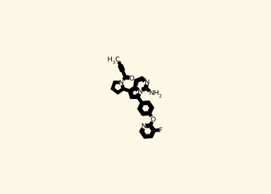 CC#CC(=O)N1CCCC1c1cc(-c2ccc(Oc3ncccc3F)cc2)n2c(N)nccc12